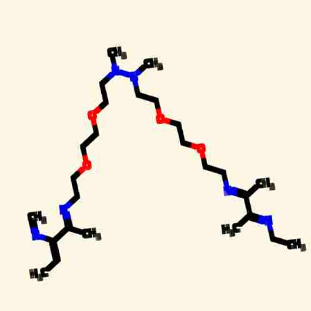 C=NC(=C\C)/C(C)=N/CCOCCOCCN(C)N(C)CCOCCOCC/N=C(C)/C(C)=N/CC